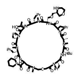 CCC(C)[C@@H]1NC(=O)[C@H](CC(C)C)N(C)C(=O)CCCN(C)C(=O)CC(C(=O)N2CCCCC2)NC(=O)[C@H](CC(C)C)N(C)C(=O)[C@H](CC(C)C)N(C)C(=O)C(C(C)O)NC(=O)[C@H](CC(C)C)N(C)C(=O)[C@H](COC[C@@H]2COCCN2)NC(=O)C(CC(C)C)N(C)C(=O)[C@H](C)N(C)C1=O